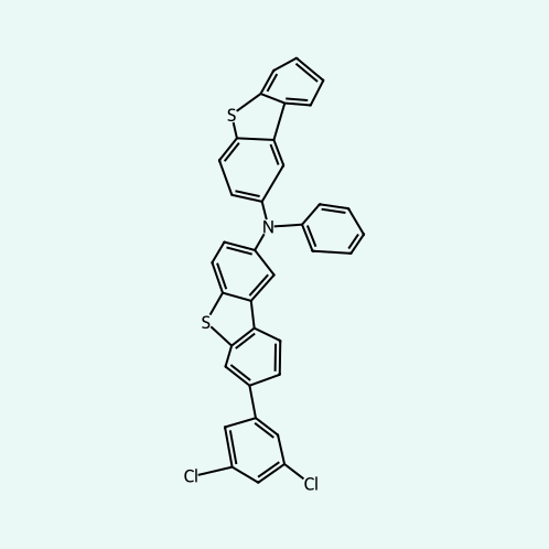 Clc1cc(Cl)cc(-c2ccc3c(c2)sc2ccc(N(c4ccccc4)c4ccc5sc6ccccc6c5c4)cc23)c1